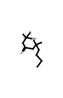 CCCCC1(C)CC(=O)CC(C)(C)N1